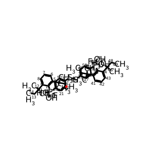 CCC(C)(C)c1cccc(C(C)(C)CC)c1P(O)(O)(F)c1ccc(SSc2ccc(P(O)(O)(F)c3c(C(C)(C)CC)cccc3C(C)(C)CC)cc2)cc1